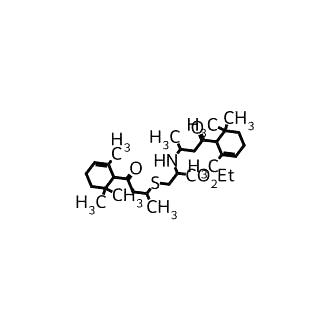 CCOC(=O)C(CSC(C)CC(=O)C1C(C)=CCCC1(C)C)NC(C)CC(=O)C1C(C)=CCCC1(C)C